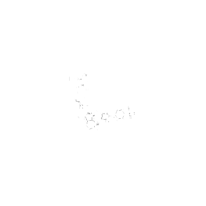 Cc1nc(-c2ccc(C(F)(F)F)cc2)sc1Cn1c2c(c3cccnc31)CCN(C(=O)CCCC(C)(C)C(=O)O)C2